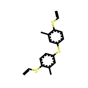 C=CSc1ccc(Sc2ccc(SC=C)c(C)c2)cc1C